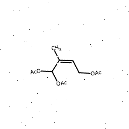 CC(=O)OCC=C(C)C(OC(C)=O)OC(C)=O